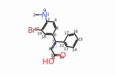 CN(C)c1ccc(/C(=C/C(=O)O)c2ccccc2)cc1Br